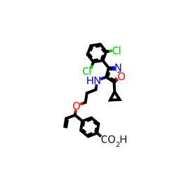 C=CC(OCCCNc1c(-c2c(Cl)cccc2Cl)noc1C1CC1)c1ccc(C(=O)O)cc1